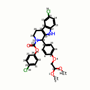 CCOC(COc1ccc(C2c3[nH]c4ccc(Cl)cc4c3CCN2C(=O)Oc2ccc(Cl)cc2)cc1)OCC